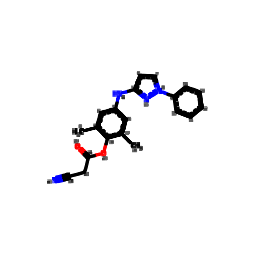 Cc1cc(Nc2ccn(-c3ccccc3)n2)cc(C)c1OC(=O)CC#N